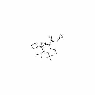 CCCC(NC(=C1CCC1)C(CC(C)(C)C)C(C)C)C(=O)CC1CC1